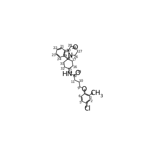 Cc1cc(Cl)ccc1OCCCC(=O)NC1CCC(c2ccccc2)(N2CCOCC2)CC1